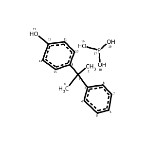 CC(C)(c1ccccc1)c1ccc(O)cc1.OP(O)O